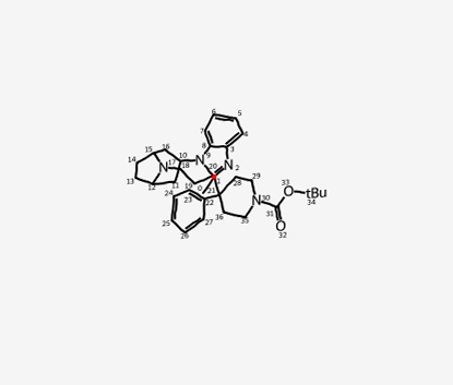 Cc1nc2ccccc2n1C1CC2CCC(C1)N2CCCC1(c2ccccc2)CCN(C(=O)OC(C)(C)C)CC1